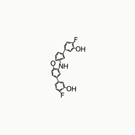 Oc1cc(-c2ccc3c(c2)Nc2cc(-c4ccc(F)c(O)c4)ccc2O3)ccc1F